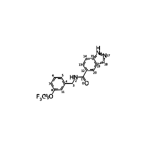 O=C(NCc1cccc(OC(F)(F)F)c1)c1ccc2[nH]ncc2c1